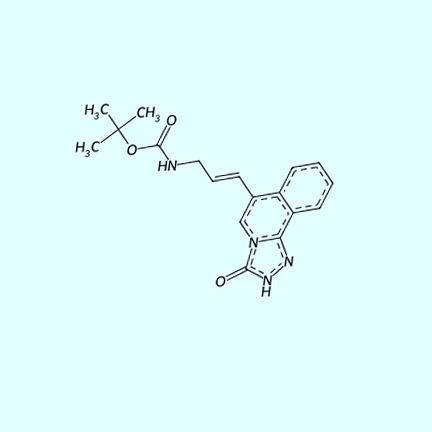 CC(C)(C)OC(=O)NC/C=C/c1cn2c(=O)[nH]nc2c2ccccc12